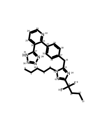 CCCCCn1nc(C(F)(F)CCC)nc1Cc1ccc(-c2ncccc2-c2nnn[nH]2)cc1